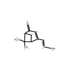 CC1(C)C2CC1C(C=NO)=CC2=O